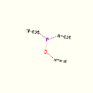 CCCCCCCOP(CCCCCCC)CCCCCCC